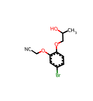 CC(O)COc1ccc(Br)cc1OCC#N